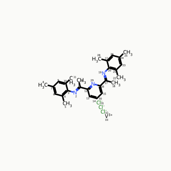 CC(=Nc1c(C)cc(C)cc1C)c1cccc(C(C)=Nc2c(C)cc(C)cc2C)n1.[Cl-].[Cl-].[Cl-].[V+3]